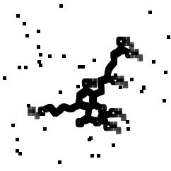 CCCCCc1cc(O)c(C/C=C(\C)CCC=C(C)C)c2c1C(=O)OC(C)(C)O2